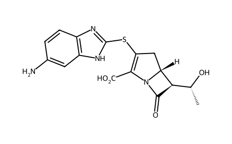 C[C@@H](O)[C@H]1C(=O)N2C(C(=O)O)=C(Sc3nc4ccc(N)cc4[nH]3)C[C@H]12